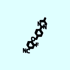 Cc1cnc(-c2ccc(COc3ccc(C#N)cc3F)cc2)nc1